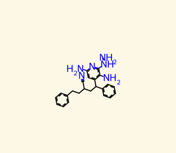 N#CC(CCc1ccccc1)CC(c1ccccc1)c1cc(N)nc(NN)c1N